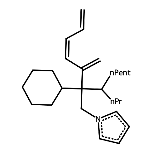 C=C/C=C\C(=C)C(Cn1cccc1)(C(CCC)CCCCC)C1CCCCC1